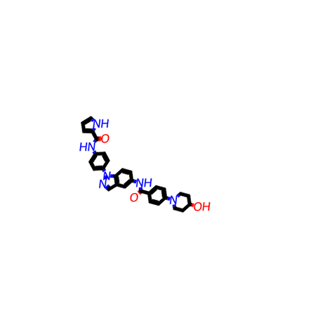 O=C(Nc1ccc2c(cnn2-c2ccc(NC(=O)c3ccc[nH]3)cc2)c1)c1ccc(N2CCC(O)CC2)cc1